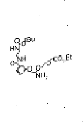 CCOC(=O)COCCOC(N)COc1cccc(C(=O)NCCNC(=O)OC(C)(C)C)c1